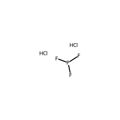 Cl.Cl.FP(F)F